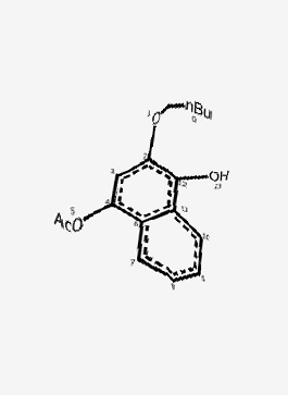 CCCCOc1cc(OC(C)=O)c2ccccc2c1O